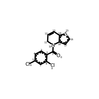 O=C(c1ccc(Cl)cc1Cl)N1CC=Cc2sccc21